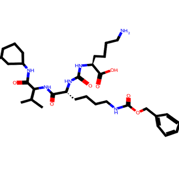 CC1CCCC(NC(=O)C(NC(=O)[C@@H](CCCCNC(=O)OCc2ccccc2)NC(=O)N[C@@H](CCCCN)C(=O)O)C(C)C)C1